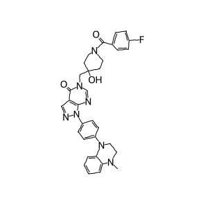 CN1CCN(c2ccc(-n3ncc4c(=O)n(CC5(O)CCN(C(=O)c6ccc(F)cc6)CC5)cnc43)cc2)c2ccccc21